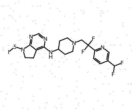 FC(F)c1ccc(C(F)(F)CN2CCC(Nc3ncnc4c3CCN4SI)CC2)nc1